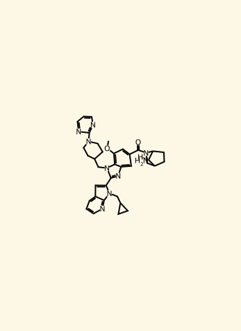 COc1cc(C(=O)N2CC3CCC2[C@@H]3N)cc2nc(-c3cc4cccnc4n3CC3CC3)n(CC3CCN(c4ncccn4)CC3)c12